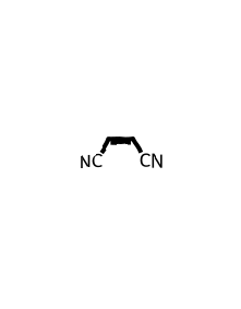 N#C/C=C\C#N